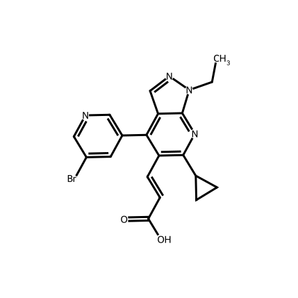 CCn1ncc2c(-c3cncc(Br)c3)c(/C=C/C(=O)O)c(C3CC3)nc21